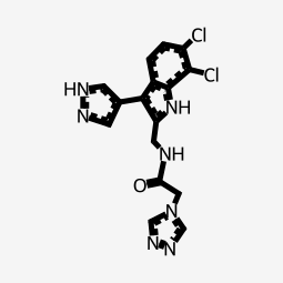 O=C(Cn1cnnc1)NCc1[nH]c2c(Cl)c(Cl)ccc2c1-c1cn[nH]c1